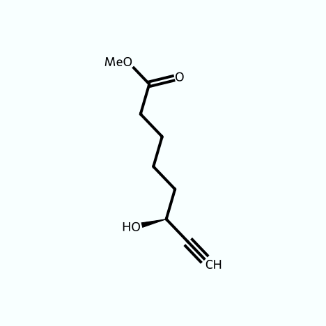 C#C[C@@H](O)CCCCC(=O)OC